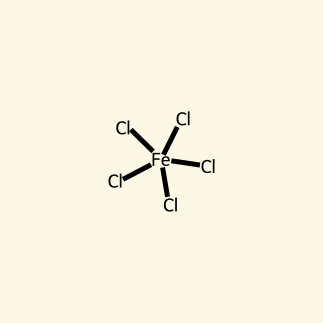 [Cl][Fe]([Cl])([Cl])([Cl])[Cl]